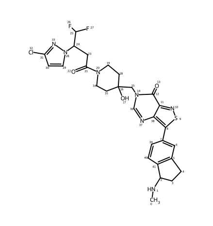 CNC1CCc2cc(-c3snc4c(=O)n(CC5(O)CCN(C(=O)CC(C(F)F)n6ccc(Cl)n6)CC5)cnc34)ccc21